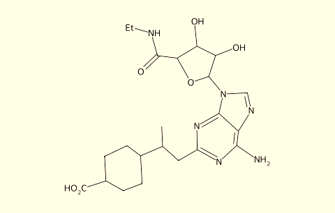 CCNC(=O)C1OC(n2cnc3c(N)nc(CC(C)C4CCC(C(=O)O)CC4)nc32)C(O)C1O